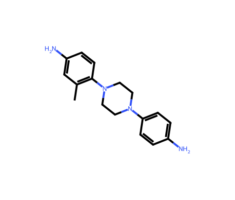 Cc1cc(N)ccc1N1CCN(c2ccc(N)cc2)CC1